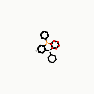 B.c1ccc(P(c2ccccc2)c2ccccc2B(C2CCCCC2)C2CCCCC2)cc1